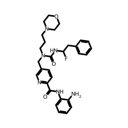 Nc1ccccc1NC(=O)c1ccc(CN(CCCN2CCOCC2)C(=O)NC(F)Cc2ccccc2)cn1